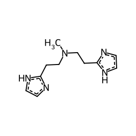 CN(CCc1ncc[nH]1)CCc1ncc[nH]1